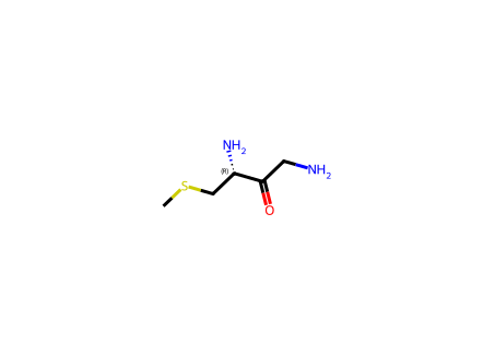 CSC[C@H](N)C(=O)CN